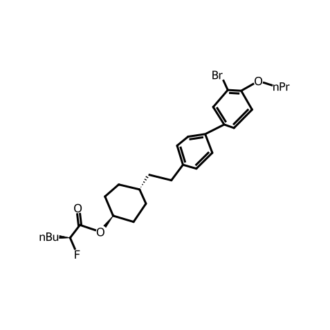 CCCC[C@H](F)C(=O)O[C@H]1CC[C@H](CCc2ccc(-c3ccc(OCCC)c(Br)c3)cc2)CC1